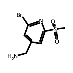 CS(=O)(=O)c1cc(CN)cc(Br)n1